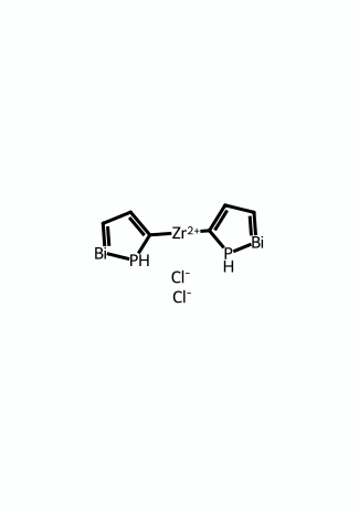 [CH]1=[Bi][PH][C]([Zr+2][C]2=C[CH]=[Bi][PH]2)=C1.[Cl-].[Cl-]